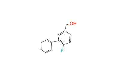 OCc1ccc(F)c(-c2ccccc2)c1